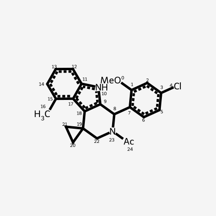 COc1cc(Cl)ccc1C1c2[nH]c3cccc(C)c3c2C2(CC2)CN1C(C)=O